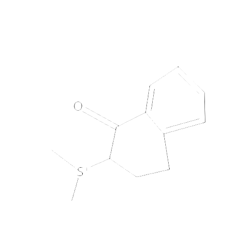 C[S+](C)C1CCc2ccccc2C1=O